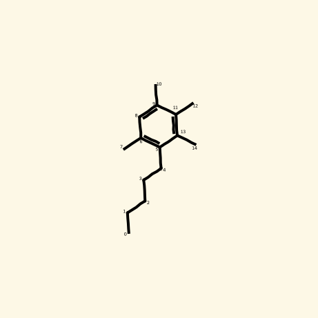 CCCC[CH]c1c(C)cc(C)c(C)c1C